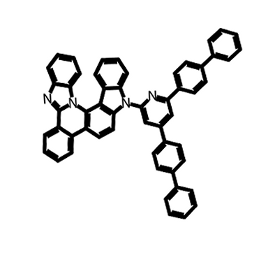 c1ccc(-c2ccc(-c3cc(-c4ccc(-c5ccccc5)cc4)nc(-n4c5ccccc5c5c4ccc4c6ccccc6c6nc7ccccc7n6c45)c3)cc2)cc1